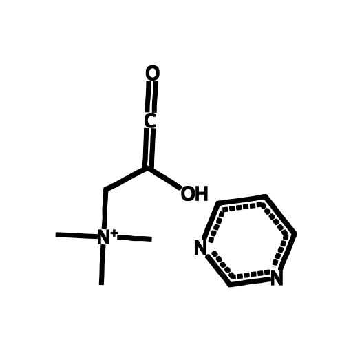 C[N+](C)(C)CC(O)=C=O.c1cncnc1